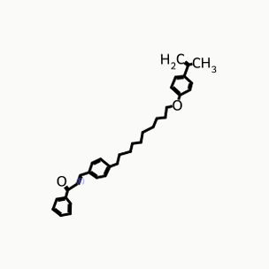 C=C(C)c1ccc(OCCCCCCCCCCc2ccc(/C=C/C(=O)c3ccccc3)cc2)cc1